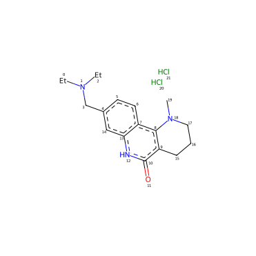 CCN(CC)Cc1ccc2c3c(c(=O)[nH]c2c1)CCCN3C.Cl.Cl